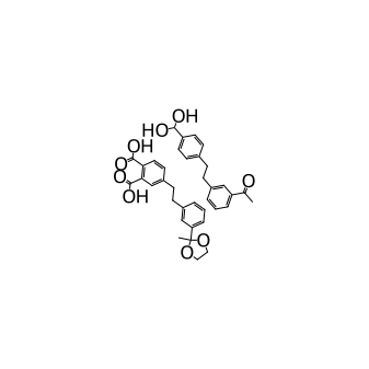 CC(=O)c1cccc(CCc2ccc(C(O)O)cc2)c1.CC1(c2cccc(CCc3ccc(C(=O)O)c(C(=O)O)c3)c2)OCCO1